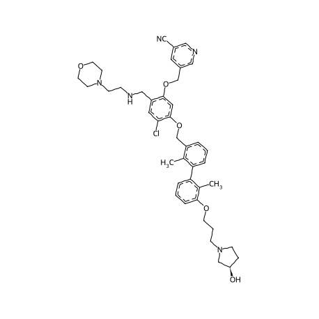 Cc1c(COc2cc(OCc3cncc(C#N)c3)c(CNCCN3CCOCC3)cc2Cl)cccc1-c1cccc(OCCCN2CC[C@@H](O)C2)c1C